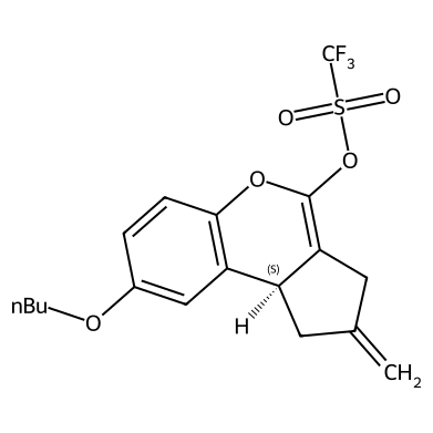 C=C1CC2=C(OS(=O)(=O)C(F)(F)F)Oc3ccc(OCCCC)cc3[C@@H]2C1